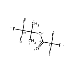 CC(C)(OC(=O)C(F)(F)F)C(F)(F)F